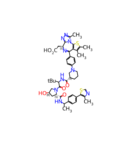 Cc1ncsc1-c1ccc(C(C)NC(=O)[C@@H]2C[C@@H](O)CN2C(=O)C(NC(=O)[C@H]2CCCN(c3ccc(C4=N[C@@H](CC(=O)O)c5nnc(C)n5-c5sc(C)c(C)c54)cc3)C2)C(C)(C)C)cc1